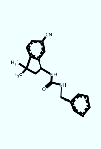 CC1(C)CC(NC(=O)NCc2ccccc2)c2cc(C#N)ccc21